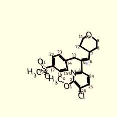 COc1nc(/C(=C/C2CCOCC2)Cc2ccc(S(C)(=O)=O)cc2)ccc1Cl